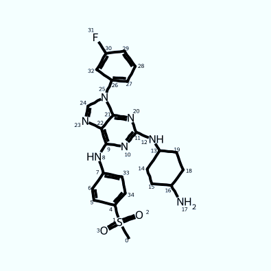 CS(=O)(=O)c1ccc(Nc2nc(NC3CCC(N)CC3)nc3c2ncn3-c2cccc(F)c2)cc1